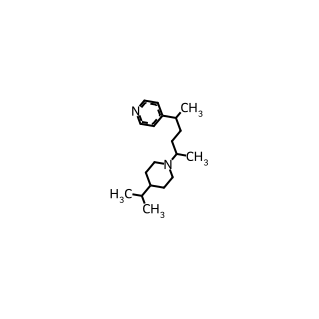 CC(CCC(C)N1CCC(C(C)C)CC1)c1ccncc1